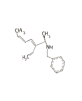 C=C/C(=C\C=C/C)[C@@H](C)NCc1ccccc1